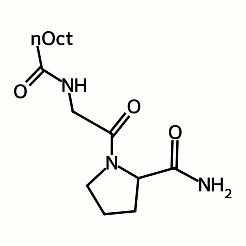 CCCCCCCCC(=O)NCC(=O)N1CCCC1C(N)=O